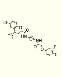 CNC1CC(C(=O)NC23CC(NC(=O)COc4ccc(Cl)c(F)c4)(C2)C3)Oc2ccc(Cl)cc21